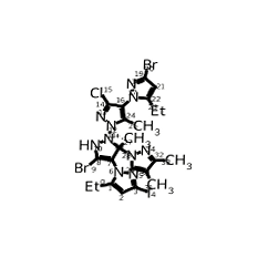 CCc1cc(I)nn1C1=C(Br)N[N+](n2nc(Cl)c(-n3nc(Br)cc3CC)c2C)C1(C)n1cc(C)c(C)n1